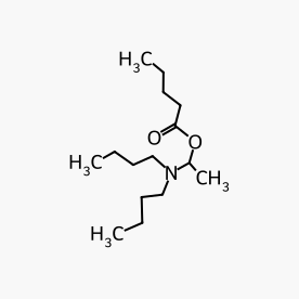 CCCCC(=O)OC(C)N(CCCC)CCCC